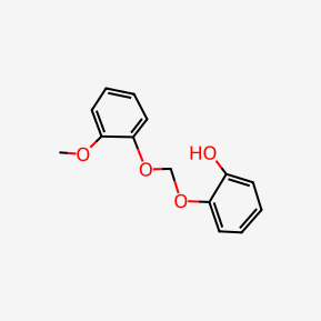 COc1ccccc1OCOc1ccccc1O